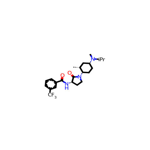 CC(C)N(C)[C@@H]1CC[C@H](N2CC[C@H](NC(=O)c3cccc(C(F)(F)F)c3)C2=O)[C@H](C)C1